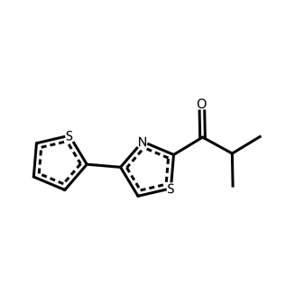 CC(C)C(=O)c1nc(-c2cccs2)cs1